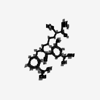 NC(=O)C(N)CCCCN(Cc1cccc(B(O)O)c1)C(=O)c1cc(Br)cc(B(O)O)c1